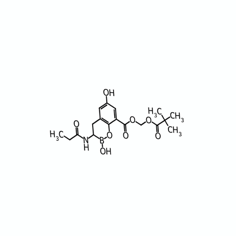 CCC(=O)NC1Cc2cc(O)cc(C(=O)OCOC(=O)C(C)(C)C)c2OB1O